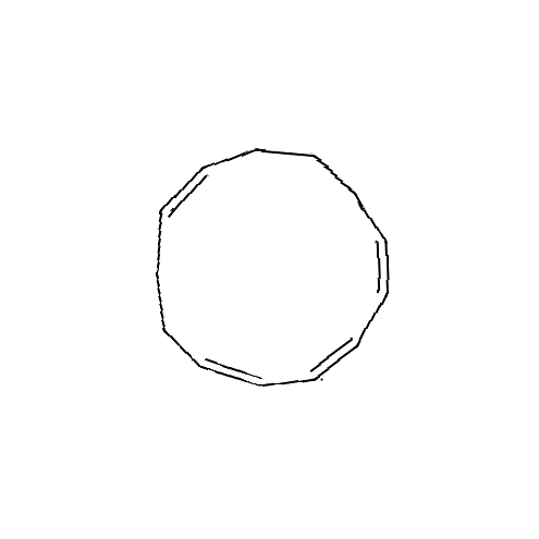 [C]1=CC=CCCCC=CCCC=C1